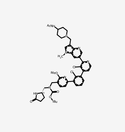 COc1nc(-c2cccc(-c3ccnc(-c4cnc5c(CN6CCC(NC(C)=O)CC6)cn(C)c5c4)c3Cl)c2Cl)ccc1CN(C[C@@H]1CCC(=O)N1)C(=O)OC(C)(C)C